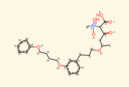 CC(CC(=O)C(C(=O)O)[N+](C)([O-])O)OCCCc1cccc(OCCCCOc2ccccc2)c1